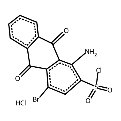 Cl.Nc1c(S(=O)(=O)Cl)cc(Br)c2c1C(=O)c1ccccc1C2=O